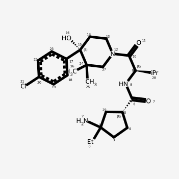 CCC1(N)CC[C@@H](C(=O)N[C@@H](C(=O)N2CC[C@](O)(c3ccc(Cl)cc3)C(C)(C)C2)C(C)C)C1